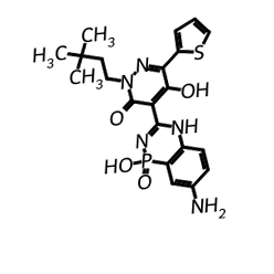 CC(C)(C)CCn1nc(-c2cccs2)c(O)c(C2=NP(=O)(O)c3cc(N)ccc3N2)c1=O